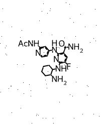 CC(=O)Nc1cc(Nc2nc(NC3CCCC[C@@H]3N)c(F)cc2C(N)=O)ccn1